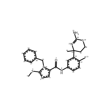 CSc1ncc(C(=O)Nc2ccc(F)c(C3(C)CCSC(N)=N3)c2)n1Cc1ccccc1